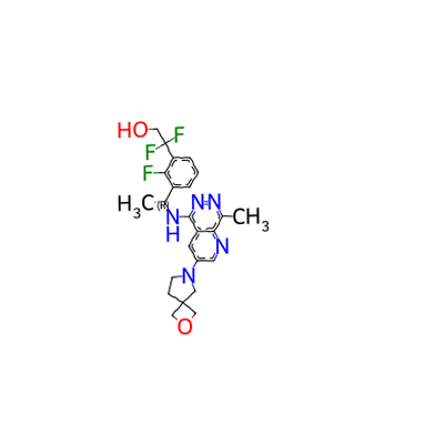 Cc1nnc(N[C@H](C)c2cccc(C(F)(F)CO)c2F)c2cc(N3CCC4(COC4)C3)cnc12